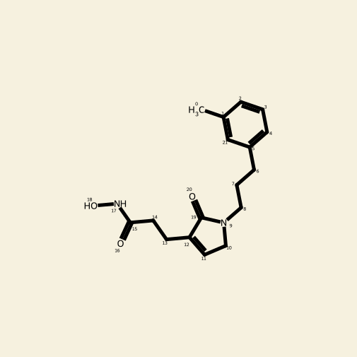 Cc1cccc(CCCN2CC=C(CCC(=O)NO)C2=O)c1